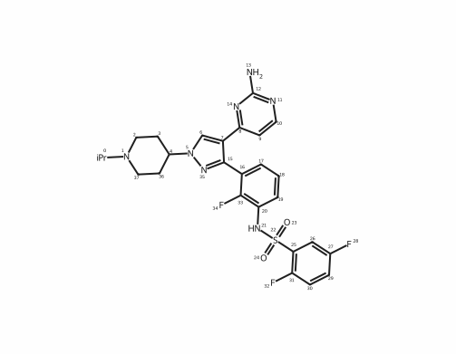 CC(C)N1CCC(n2cc(-c3ccnc(N)n3)c(-c3cccc(NS(=O)(=O)c4cc(F)ccc4F)c3F)n2)CC1